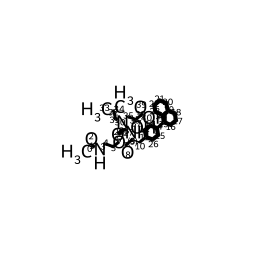 CC(=O)NCCOC(=O)[C@H](Cc1ccc(-c2cccc3ccccc23)cc1)NC(=O)N(CC(C)C)CC(O)C(=O)O